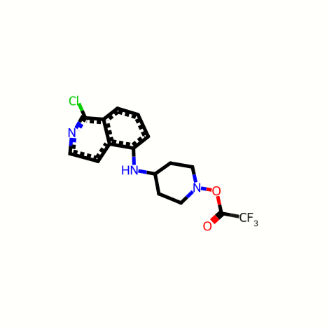 O=C(ON1CCC(Nc2cccc3c(Cl)nccc23)CC1)C(F)(F)F